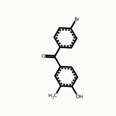 Cc1cc(C(=O)c2ccc(Br)cc2)ccc1O